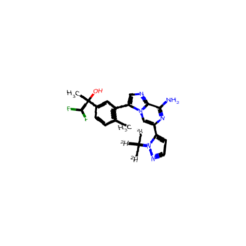 [2H]C([2H])([2H])n1nccc1-c1cn2c(-c3cc(C(C)(O)C(F)F)ccc3C)cnc2c(N)n1